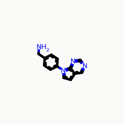 NCc1ccc(-n2ccc3cncnc32)cc1